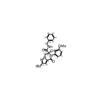 COc1cccc(N2C(=O)c3cc(C(C)(C)C)nn3CC2(C)C(=O)NCc2ccccc2)c1